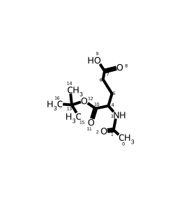 CC(=O)NC(CCC(=O)O)C(=O)OC(C)(C)C